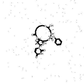 C[C@@H]1N[P@](=O)(Oc2ccccc2)OC[C@H]2O[C@@H](n3ccc(=O)[nH]c3=O)[C@](C)(F)[C@@H]2OC(=O)CCCCOC1O